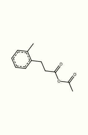 CC(=O)OC(=O)CCc1ccccc1C